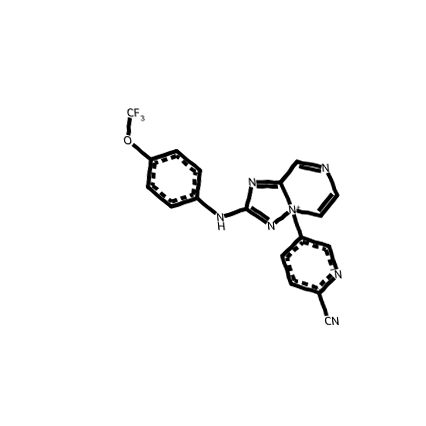 N#Cc1ccc([N+]23C=CN=CC2=NC(Nc2ccc(OC(F)(F)F)cc2)=N3)cn1